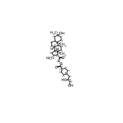 C[C@@]1(O)CC[C@@]2(C)C(CC[C@@H]3C2CC[C@]2(C)[C@@H](C(=O)COC(=O)C4CCN(CC(O)CO)CC4)CC[C@@H]32)C1.Cl